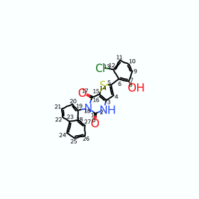 O=c1[nH]c2cc(-c3c(O)cccc3Cl)sc2c(=O)n1-c1cccc2ccccc12